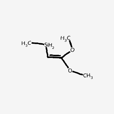 COC(=C[SiH2]C)OC